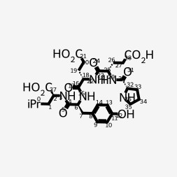 CC(C)C[C@H](NC(=O)[C@H](Cc1ccc(O)cc1)NC(=O)[C@H](CCC(=O)O)NC(=O)[C@H](CCC(=O)O)NC(=O)[C@@H]1CCCN1)C(=O)O